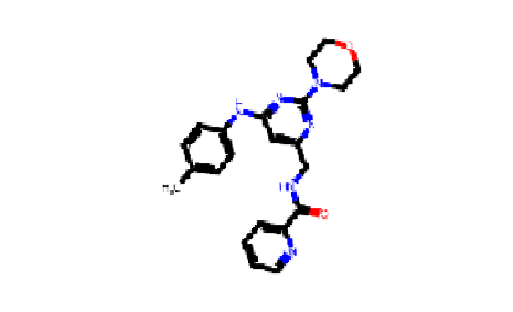 Cc1ccc(Nc2cc(CNC(=O)c3ccccn3)nc(N3CCOCC3)n2)cc1